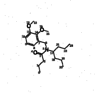 CCCC(=O)N(Cc1cccc(OC)c1OC)C(CCC)CCC